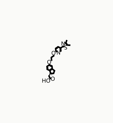 Cc1nc(-c2ccc(OCCCOc3ccc4c(c3)CC[C@H]4CC(=O)O)nc2)sc1C